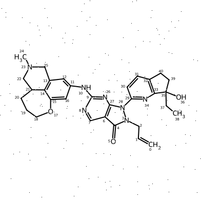 C=CCn1c(=O)c2cnc(Nc3cc4c5c(c3)OCCCC5CN(C)C4)nc2n1-c1ccc2c(n1)C(O)(CC)CC2